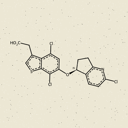 O=C(O)Cc1csc2c(Cl)c(O[C@H]3CCc4nc(Cl)ccc43)cc(Cl)c12